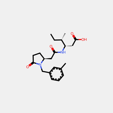 CC[C@H](C)[C@H](CC(=O)O)NC(=O)C[C@@H]1CCC(=O)N1Cc1cccc(C)c1